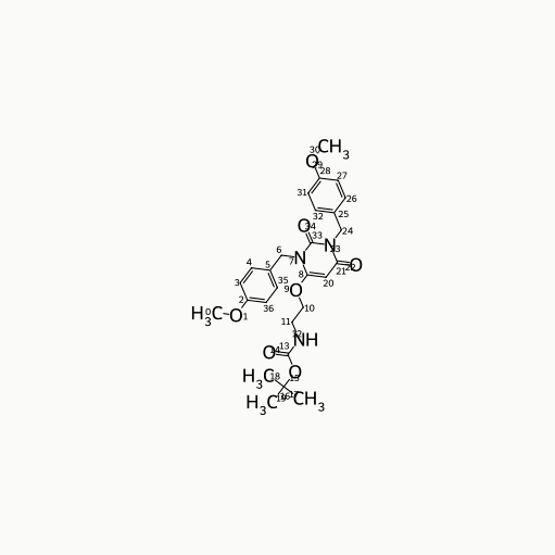 COc1ccc(Cn2c(OCCNC(=O)OC(C)(C)C)cc(=O)n(Cc3ccc(OC)cc3)c2=O)cc1